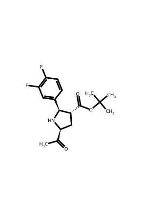 CC(=O)[C@@H]1C[C@@H](C(=O)OC(C)(C)C)[C@H](c2ccc(F)c(F)c2)N1